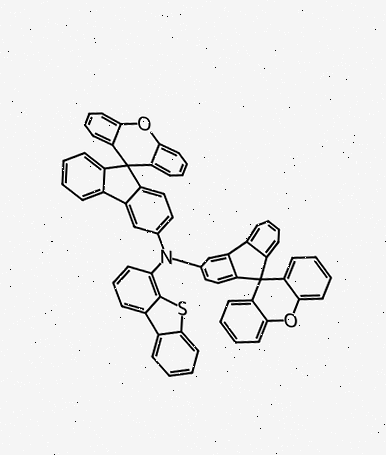 c1ccc2c(c1)Oc1ccccc1C21c2ccccc2-c2cc(N(c3ccc4c(c3)-c3ccccc3C43c4ccccc4Oc4ccccc43)c3cccc4c3sc3ccccc34)ccc21